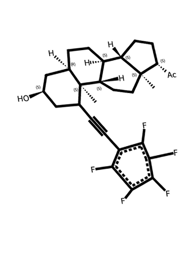 CC(=O)[C@H]1CC[C@H]2[C@@H]3CC[C@@H]4C[C@H](O)CC(C#Cc5c(F)c(F)c(F)c(F)c5F)[C@]4(C)[C@H]3CC[C@]12C